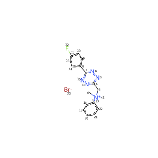 C[N+](C)(Cc1nnc(-c2ccc(F)cc2)nn1)c1ccccc1.[Br-]